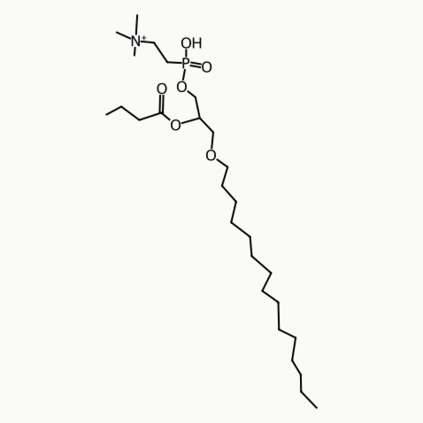 CCCCCCCCCCCCCCCOCC(COP(=O)(O)CC[N+](C)(C)C)OC(=O)CCC